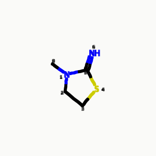 CN1CCSC1=N